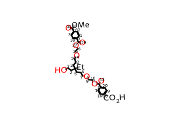 CCC(CCO)(CCCOCCOC(=O)c1ccc(C(=O)O)cc1)CCCOCCOC(=O)c1ccc(C(=O)OC)cc1